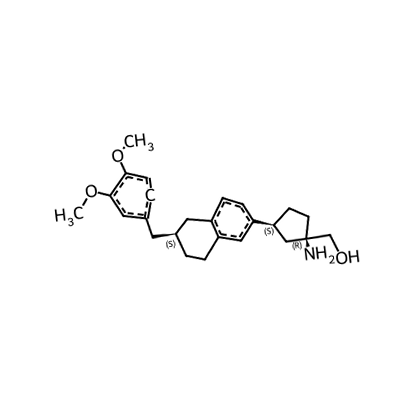 COc1ccc(C[C@@H]2CCc3cc([C@H]4CC[C@](N)(CO)C4)ccc3C2)cc1OC